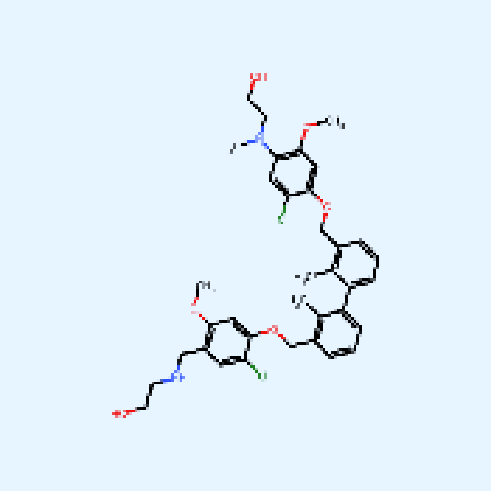 COc1cc(OCc2cccc(-c3cccc(COc4cc(OC)c(N(C)CCO)cc4Cl)c3C)c2C)c(Cl)cc1CNCCO